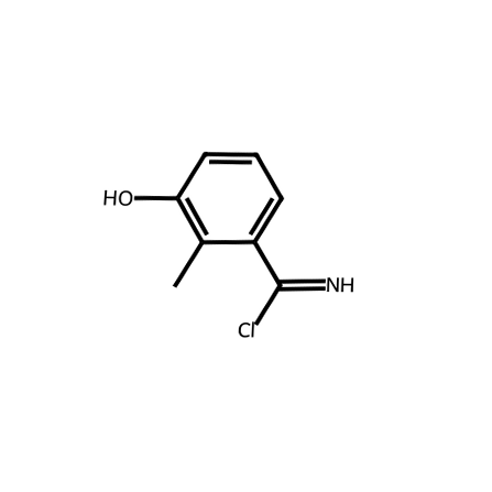 Cc1c(O)cccc1C(=N)Cl